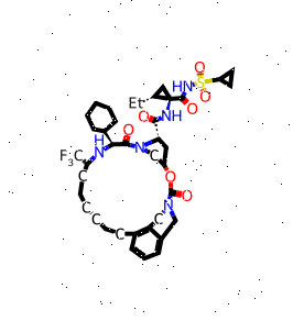 CC[C@@H]1C[C@]1(NC(=O)[C@@H]1CC2CN1C(=O)[C@H](C1CCCCC1)NC(C(F)(F)F)CCCCCCc1cccc3c1CN(C3)C(=O)O2)C(=O)NS(=O)(=O)C1CC1